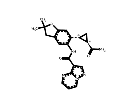 CC1(C)Cc2cc(NC(=O)c3cnn4cccnc34)c([C@@H]3C[C@H]3C(N)=O)cc2O1